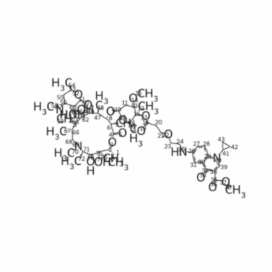 CC[C@H]1OC(=O)[C@H](C)[C@@H](O[C@H]2C[C@@](C)(OC)[C@@H](OC(=O)CCOCCNc3ccc4c(c3)c(=O)c(C(=O)OC)cn4C3CC3)[C@H](C)O2)[C@H](C)[C@@H](O[C@@H]2O[C@H](C)C[C@H](N(C)C)[C@H]2O)[C@](C)(O)C[C@@H](C)CN(C)[C@H](C)[C@@H](O)[C@]1(C)O